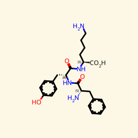 NCCCC[C@H](NC(=O)[C@@H](Cc1ccc(O)cc1)NC(=O)[C@@H](N)Cc1ccccc1)C(=O)O